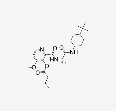 CCCC(=O)Oc1c(OC)ccnc1C(=O)N[C@@H](C)C(=O)NC1CCC(C(C)(C)C)CC1